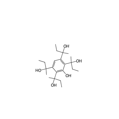 CCC(C)(O)c1cc(C(C)(O)CC)c(C(C)(O)CC)c(O)c1C(C)(O)CC